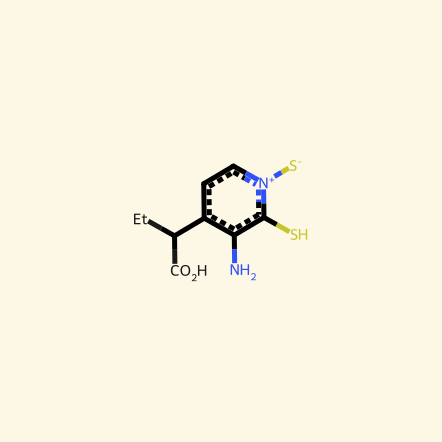 CCC(C(=O)O)c1cc[n+]([S-])c(S)c1N